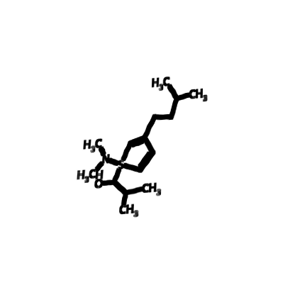 CC(C)CCC1=CS(C(O)C(C)C)(N(C)C)C=C1